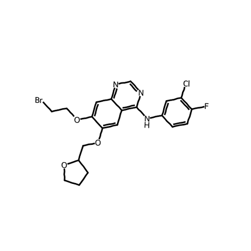 Fc1ccc(Nc2ncnc3cc(OCCBr)c(OCC4CCCO4)cc23)cc1Cl